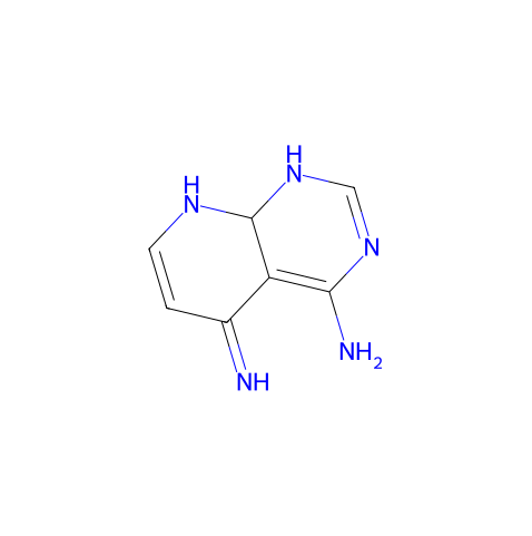 N=C1C=CNC2NC=NC(N)=C12